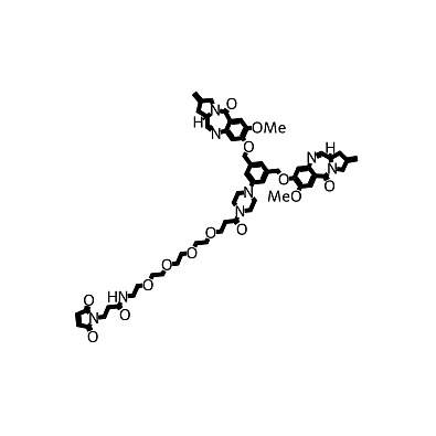 C=C1C[C@H]2C=Nc3cc(OCc4cc(COc5cc6c(cc5OC)C(=O)N5CC(=C)C[C@H]5C=N6)cc(N5CCN(C(=O)CCOCCOCCOCCOCCNC(=O)CCN6C(=O)C=CC6=O)CC5)c4)c(OC)cc3C(=O)N2C1